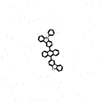 c1ccc(-n2c3ccccc3c3cc(-c4c5ccccc5c(-c5ccc6oc7ccccc7c6c5)c5ccccc45)ccc32)cc1